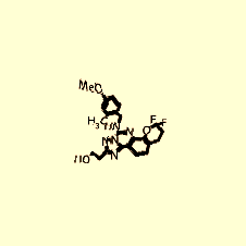 COc1ccc(CNc2nc3c4c(ccc3c3nc(CCO)nn23)CCC(F)(F)O4)c(C)c1